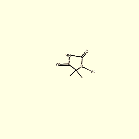 CC(=O)N1C(=O)NC(=O)C1(C)C